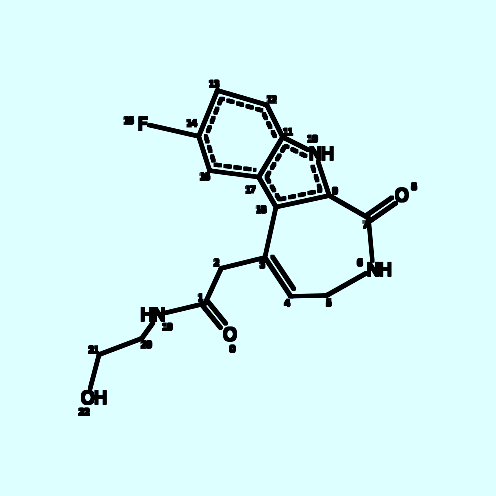 O=C(CC1=CCNC(=O)c2[nH]c3ccc(F)cc3c21)NCCO